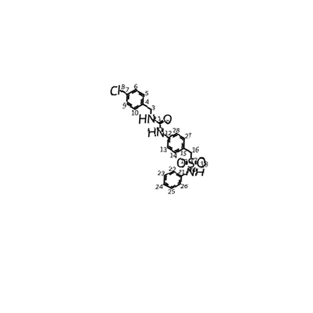 O=C(NCc1ccc(Cl)cc1)Nc1ccc(CS(=O)(=O)Nc2ccccc2)cc1